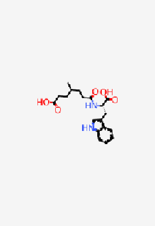 CC(CCC(=O)O)CCC(=O)N[C@@H](Cc1c[nH]c2ccccc12)C(=O)O